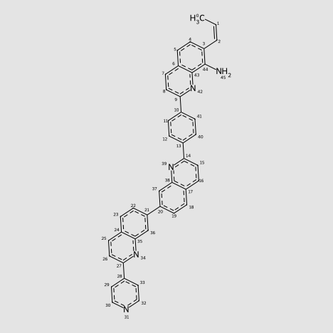 C/C=C\c1ccc2ccc(-c3ccc(-c4ccc5ccc(-c6ccc7ccc(-c8ccncc8)nc7c6)cc5n4)cc3)nc2c1N